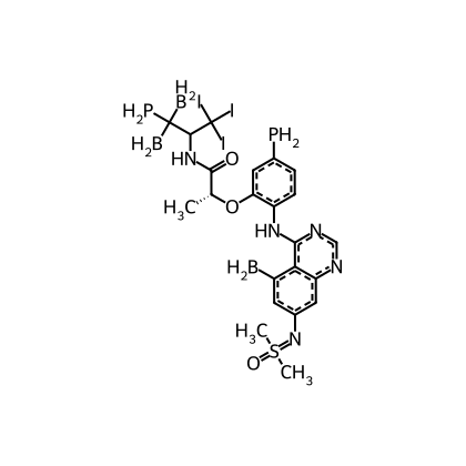 Bc1cc(N=S(C)(C)=O)cc2ncnc(Nc3ccc(P)cc3O[C@H](C)C(=O)NC(C(B)(B)P)C(I)(I)I)c12